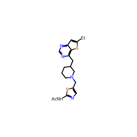 CCc1cc2ncnc(CC3CCCN(Cc4cnc(NC(C)=O)s4)C3)c2s1